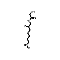 CC(C)NCCCOCC(F)CNC(=O)CO